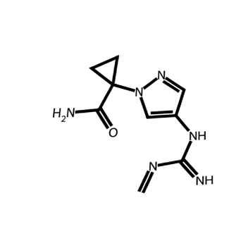 C=NC(=N)Nc1cnn(C2(C(N)=O)CC2)c1